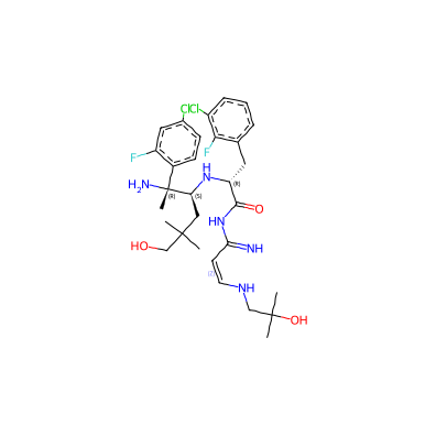 CC(C)(O)CN/C=C\C(=N)NC(=O)[C@@H](Cc1cccc(Cl)c1F)N[C@@H](CC(C)(C)CO)[C@](C)(N)c1ccc(Cl)cc1F